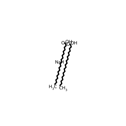 CCCCCCCCCCCCCCCCCCCCCC(=O)O.CCCCCCCCCCCCCCCCCCCCCC(=O)O.[NaH]